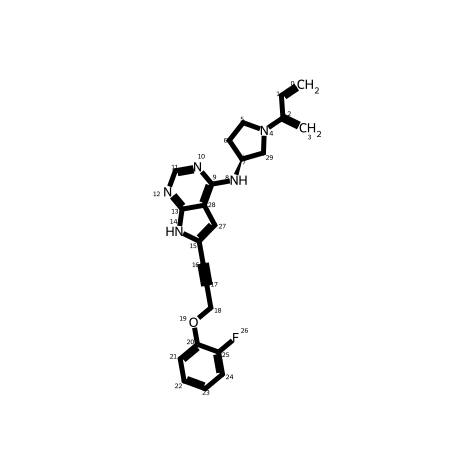 C=CC(=C)N1CC[C@H](Nc2ncnc3[nH]c(C#CCOc4ccccc4F)cc23)C1